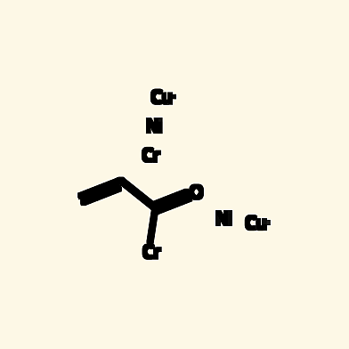 C=C[C](=O)[Cr].[Cr].[Cu].[Cu].[Ni].[Ni]